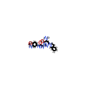 CN(C)c1cc(N2CCC3(CCCC3)C2)nn(CC(=O)Nc2ccc3ocnc3c2)c1=O